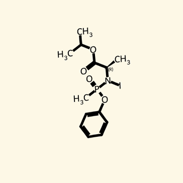 CC(C)OC(=O)[C@@H](C)N(I)P(C)(=O)Oc1ccccc1